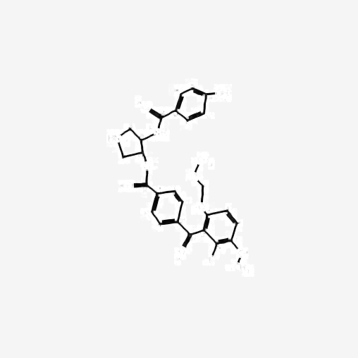 COCOc1ccc(OC)c(F)c1C(=O)c1ccc(C(=O)OC2CNCC2NC(=O)c2ccc(O)cc2)cc1